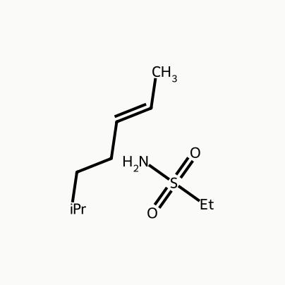 CC=CCCC(C)C.CCS(N)(=O)=O